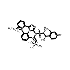 COc1cccc(-c2nnc(N(CC[Si](C)(C)C)S(=O)(=O)[C@@H](C)[C@H](O)c3ccc(F)cc3Br)n2-c2c(OC)cccc2OC)n1